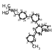 Cc1cccc(-c2nc(-c3cncc(-c4ccc(CNC(C)O)cc4)c3)c3cc[nH]c3n2)n1